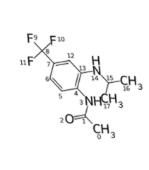 CC(=O)Nc1ccc(C(F)(F)F)cc1NC(C)C